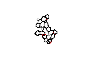 c1ccc(-c2cc(N(c3cccc4ccccc34)c3cccc4sc5ccccc5c34)c3cc(N(c4cccc5ccccc45)c4cccc5sc6ccccc6c45)c(-c4ccccc4)cc3c2)cc1